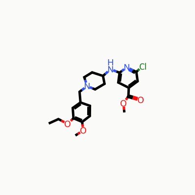 CCOc1cc(CN2CCC(Nc3cc(C(=O)OC)cc(Cl)n3)CC2)ccc1OC